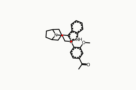 COc1cc(C(C)=O)ccc1OCCN1C2CCC1CC(c1n[nH]c3ccccc13)C2